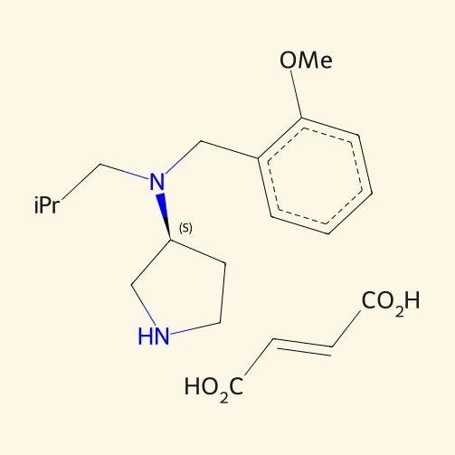 COc1ccccc1CN(CC(C)C)[C@H]1CCNC1.O=C(O)C=CC(=O)O